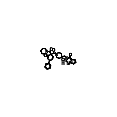 O=C(N1CCCCC1)C1(C(=O)N2CCC(O)(Cn3cnn4cccc4c3=O)CC2)C=CC(c2ccccc2)C=C1Cl